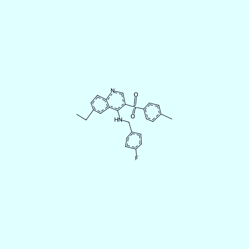 CCc1ccc2ncc(S(=O)(=O)c3ccc(C)cc3)c(NCc3ccc(F)cc3)c2c1